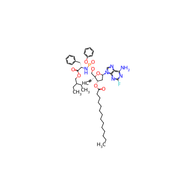 C#C[C@]1(CO[P@@](=O)(N[C@@H](Cc2ccccc2)C(=O)OCC(CC)CC)Oc2ccccc2)O[C@@H](n2cnc3c(N)nc(F)nc32)C[C@@H]1OC(=O)CCCCCCCCCCCCC